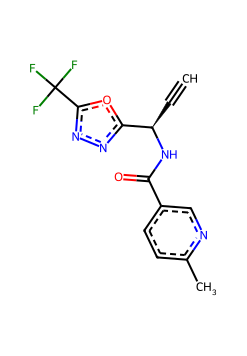 C#C[C@@H](NC(=O)c1ccc(C)nc1)c1nnc(C(F)(F)F)o1